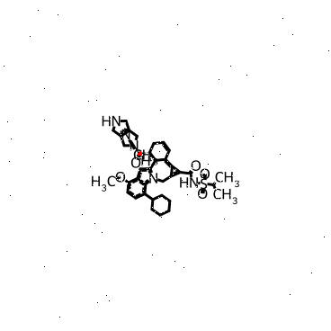 COc1ccc(C2CCCCC2)c2c1cc1n2CC2=C(C(=O)NS(=O)(=O)C(C)C)C2=C2C=CC[C@@H](C(=O)N3CC45CNCC4(CN(C)C5)C3)[C@@H]21